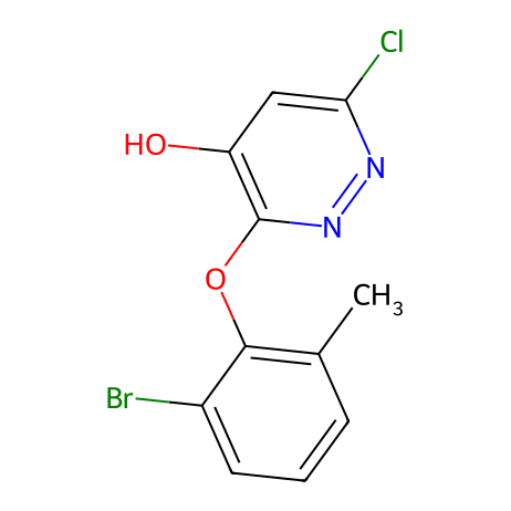 Cc1cccc(Br)c1Oc1nnc(Cl)cc1O